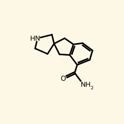 NC(=O)c1cccc2c1CC1(CCNC1)C2